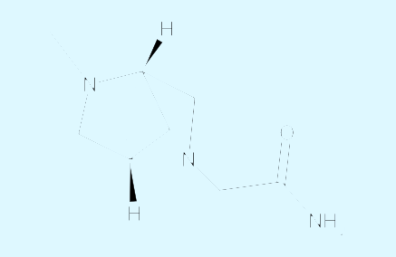 CN1C[C@@H]2C[C@H]1CN2CC(N)=O